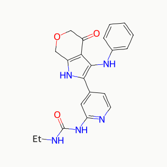 CCNC(=O)Nc1cc(-c2[nH]c3c(c2Nc2ccccc2)C(=O)COC3)ccn1